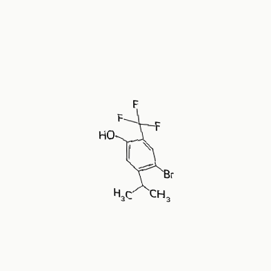 CC(C)c1cc(O)c(C(F)(F)F)cc1Br